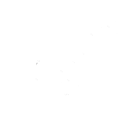 COc1cc(C(=O)N2C[C@H](N)C[C@@H](F)C2)cc2nc(-c3cc4ccc(-c5ccc(C(=O)N(C)C)nc5)nc4n3CC3CC3)n(C)c12